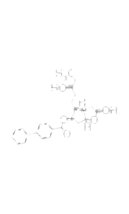 CC[C@H](O)CC[C@@H]1[C@H]2C[C@@H](O)O[C@H]2C[C@H]1OC(=O)c1ccc(-c2ccccc2)cc1